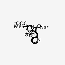 CSC1(C(=O)[O-])CN2C(=O)C(=Cc3ccccn3)[C@H]2S(=O)(=O)C1.[Na+]